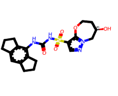 O=C(Nc1c2c(cc3c1CCC3)CCC2)NS(=O)(=O)c1cnn2c1OCC[C@@H](O)C2